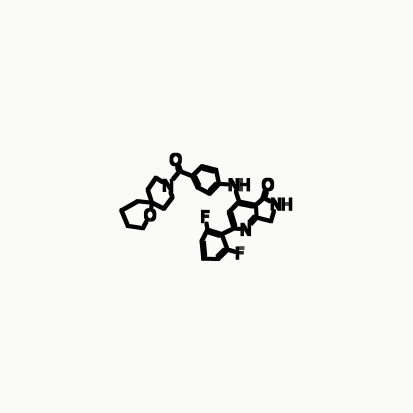 O=C1NCc2nc(-c3c(F)cccc3F)cc(Nc3ccc(C(=O)N4CCC5(CCCCO5)CC4)cc3)c21